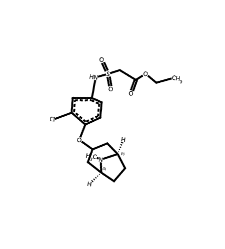 CCOC(=O)CS(=O)(=O)Nc1ccc(OC2C[C@H]3CC[C@@H](C2)N3C)c(Cl)c1